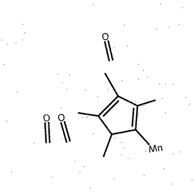 C=O.C=O.C=O.CC1=C(C)C(C)[C]([Mn])=C1C